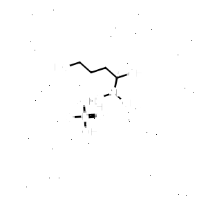 CCCCC(C)N(C)C.O=P(O)(O)O